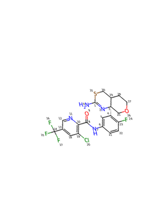 NC1=N[C@]2(c3cc(NC(=O)c4ncc(C(F)(F)F)cc4Cl)ccc3F)COCCC2CS1